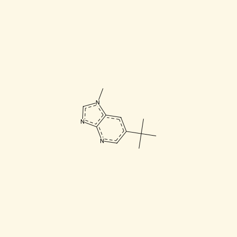 Cn1cnc2ncc(C(C)(C)C)cc21